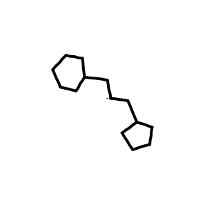 [CH](CC1CCCCC1)CC1CCCC1